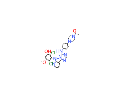 COc1cc(O)c(Cl)c(Nc2ncccc2-c2ncnc(NC3=CC=C(N4CCN(C(C)=O)CC4)CC3)n2)c1Cl